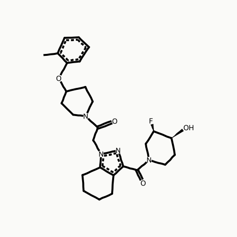 Cc1ccccc1OC1CCN(C(=O)Cn2nc(C(=O)N3CC[C@H](O)[C@H](F)C3)c3c2CCCC3)CC1